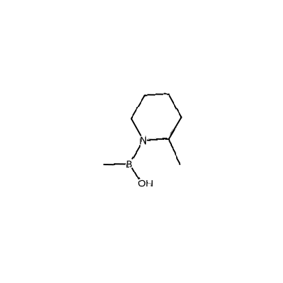 CB(O)N1CCCCC1C